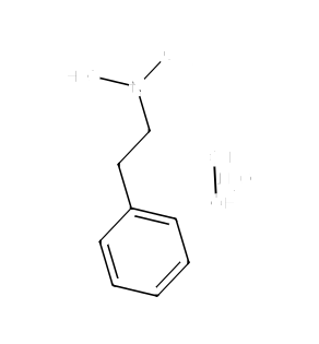 CN(C)CCc1ccccc1.CO.O